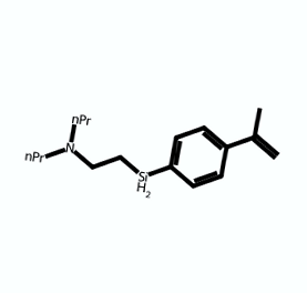 C=C(C)c1ccc([SiH2]CCN(CCC)CCC)cc1